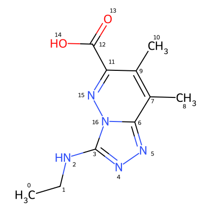 CCNc1nnc2c(C)c(C)c(C(=O)O)nn12